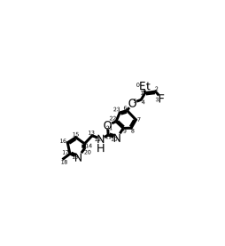 CC/C(=C/F)COc1ccc2nc(NCc3ccc(C)nc3)oc2c1